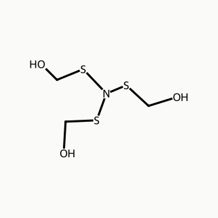 OCSN(SCO)SCO